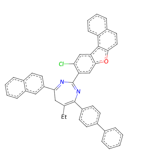 CCC1=C(c2ccc(-c3ccccc3)cc2)N=C(c2cc3oc4ccc5ccccc5c4c3cc2Cl)N=C(c2ccc3ccccc3c2)C1